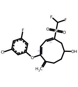 C=C1CCC(O)C/C(S(=O)(=O)C(F)F)=C\C=C/1Oc1cc(F)cc(Cl)c1